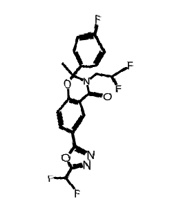 CC1(c2ccc(F)cc2)Oc2ccc(-c3nnc(C(F)F)o3)cc2C(=O)N1CC(F)F